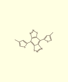 Cc1csc(-c2c3nnsc3c(-c3cc(C)cs3)c3nnsc23)c1